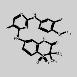 COc1ccc(Nc2ncc(F)c(Nc3ccc4c(c3)NC(=O)C(C)(C)S4(=O)=O)n2)cc1F